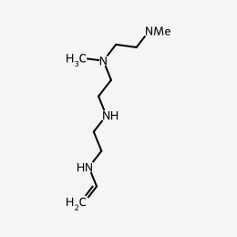 C=CNCCNCCN(C)CCNC